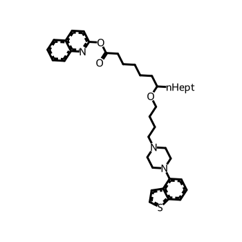 CCCCCCCC(CCCCCC(=O)Oc1ccc2ccccc2n1)OCCCCN1CCN(c2cccc3sccc23)CC1